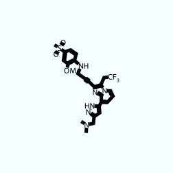 COc1cc(S(C)(=O)=O)ccc1NCC#Cc1nc2c(-c3cc(CN(C)C)n[nH]3)cccn2c1CC(F)(F)F